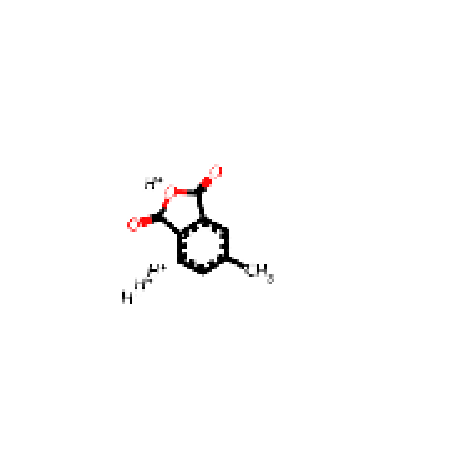 Cc1ccc2c(c1)C(=O)OC2=O.[H+].[H+].[H+].[H+]